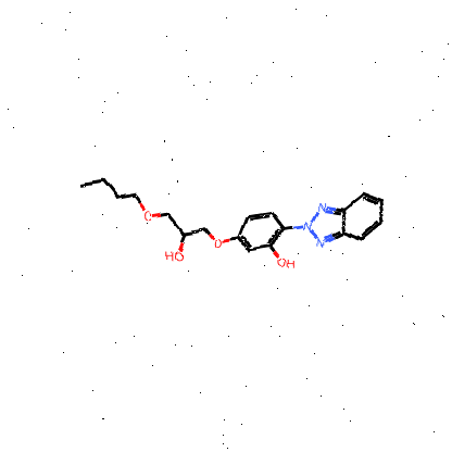 CCCCOCC(O)COc1ccc(-n2nc3ccccc3n2)c(O)c1